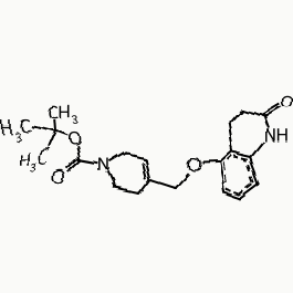 CC(C)(C)OC(=O)N1CC=C(COc2cccc3c2CCC(=O)N3)CC1